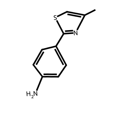 Cc1csc(-c2ccc(N)cc2)n1